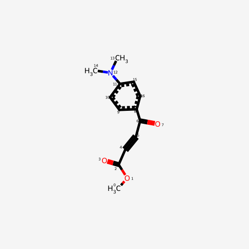 COC(=O)C#CC(=O)c1ccc(N(C)C)cc1